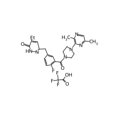 CCc1cc(Cc2ccc(F)c(C(=O)N3CCN(c4nc(C)cnc4C)CC3)c2)n[nH]c1=O.O=C(O)C(F)(F)F